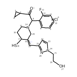 Cl.O=C(C1CC1)C(c1ccccc1F)N1CCC(S)/C(=C/c2ccn(CCO)n2)C1